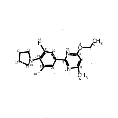 CCOc1cc(C)nc(-c2cc(F)c(N3C[CH]CC3)c(F)c2)n1